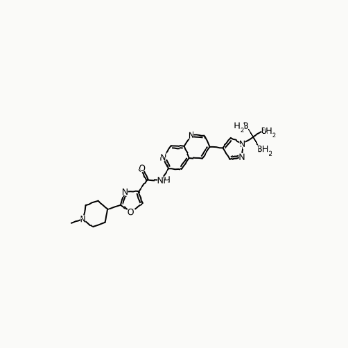 BC(B)(B)n1cc(-c2cnc3cnc(NC(=O)c4coc(C5CCN(C)CC5)n4)cc3c2)cn1